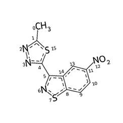 Cc1nnc(-c2nsc3ccc([N+](=O)[O-])cc23)s1